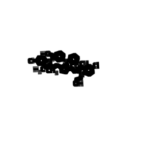 CC1(C)C(/C=C/C2=C(N(c3ccccc3)c3ccccc3)C(=C/C=C3/N(CCO)c4ccc(Cl)cc4C3(C)C)/CC2)=[N+](CCO)c2ccc(Cl)cc21